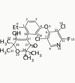 CCc1ccc(Oc2c(Cl)cnc(F)c2Cl)cc1C1=C(O)C(C)(C)OC(C)(C)C1=O